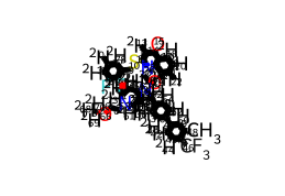 [2H]c1c([2H])c(F)c(F)c(CSc2c([2H])c(=O)c3c([2H])c([2H])c([2H])c([2H])c3n2CC(=O)N(C([2H])([2H])c2c([2H])c([2H])c(-c3c([2H])c([2H])c(C(F)(F)F)c(C)c3[2H])c([2H])c2[2H])C2([2H])C([2H])([2H])C([2H])([2H])N(CCOC([2H])([2H])[2H])C([2H])([2H])C2([2H])[2H])c1[2H]